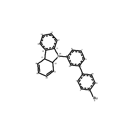 CCC(C)c1ccc(-c2cccc(N3c4ccccc4C4C=CC=CC43)c2)cc1